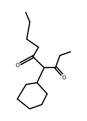 CCCCC(=O)C(C(=O)CC)C1CCCCC1